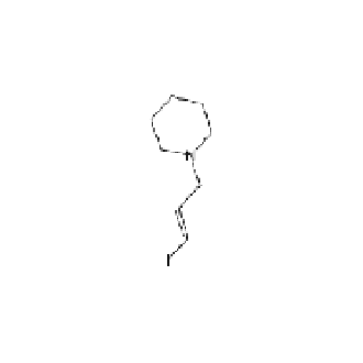 IC=CCN1CCCCC1